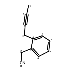 CC#CCc1ccccc1[CH]C#N